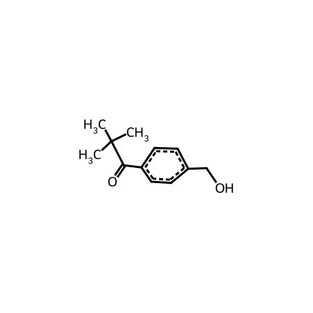 CC(C)(C)C(=O)c1ccc(CO)cc1